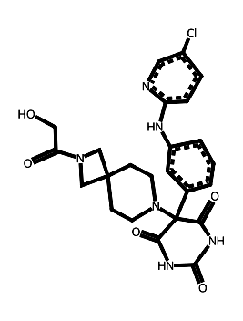 O=C1NC(=O)C(c2cccc(Nc3ccc(Cl)cn3)c2)(N2CCC3(CC2)CN(C(=O)CO)C3)C(=O)N1